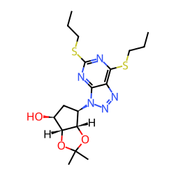 CCCSc1nc(SCCC)c2nnn([C@@H]3C[C@H](O)[C@H]4OC(C)(C)O[C@H]43)c2n1